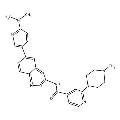 CN1CCN(c2cc(C(=O)Nc3cc4cc(-c5ccc(N(C)C)nc5)ccc4nn3)ccn2)CC1